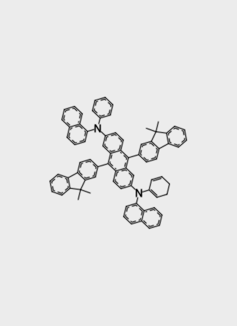 CC1(C)c2ccccc2-c2ccc(-c3c4ccc(N(c5ccccc5)c5cccc6ccccc56)cc4c(-c4ccc5c(c4)C(C)(C)c4ccccc4-5)c4ccc(N(C5=CCCC=C5)c5cccc6ccccc56)cc34)cc21